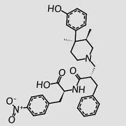 C[C@H]1CN(C[C@H](Cc2ccccc2)C(=O)N[C@@H](Cc2ccc([N+](=O)[O-])cc2)C(=O)O)CC[C@@]1(C)c1cccc(O)c1